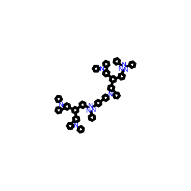 c1ccc(-c2nc(-c3ccc(-c4ccc(-n5c6ccccc6c6cc(-c7cc(-c8cccc(-c9nc(-c%10ccccc%10)nc(-c%10ccccc%10)n9)c8)cc(-c8ccc9c(c8)c8ccccc8n9-c8ccccc8)c7)ccc65)cc4)cc3)nc(-c3cccc(-c4cc(-c5ccc6c(c5)c5ccccc5n6-c5ccccc5)cc(-c5ccc6c(c5)c5ccccc5n6-c5ccccc5)c4)c3)n2)cc1